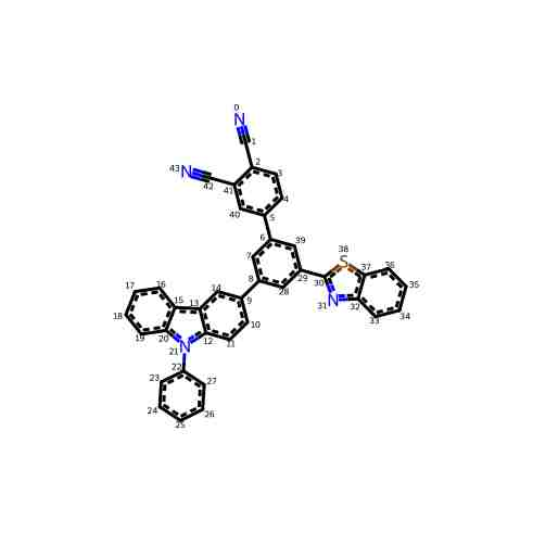 N#Cc1ccc(-c2cc(-c3ccc4c(c3)c3ccccc3n4-c3ccccc3)cc(-c3nc4ccccc4s3)c2)cc1C#N